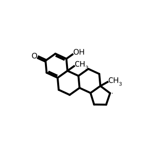 CC12[CH]CCC1C1CCC3=CC(=O)C=C(O)C3(C)C1CC2